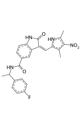 Cc1[nH]c(C=C2C(=O)Nc3ccc(C(=O)NC(C)c4ccc(F)cc4)cc32)c(C)c1[N+](=O)[O-]